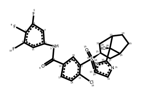 O=C(Nc1cc(F)c(F)c(F)c1)c1ccc(Cl)c(S(=O)(=O)[C@H]2CC3CCC(C2)[C@]3(O)c2ncc[nH]2)c1